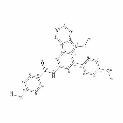 CCn1c2ccccc2c2cc(NC(=O)c3ccc(CCl)cc3)nc(-c3ccc(OC)cc3)c21